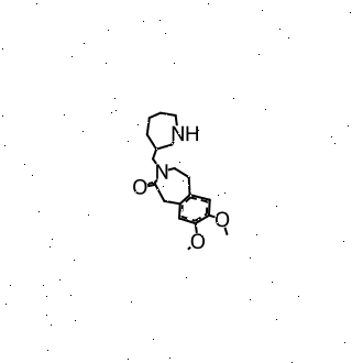 COc1cc2c(cc1OC)CC(=O)N(CC1CCCCNC1)CC2